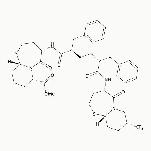 COC(=O)[C@@H]1CCC[C@@H]2SCC[C@H](NC(=O)[C@H](CC[C@H](Cc3ccccc3)C(=O)N[C@H]3CCS[C@H]4CC[C@@H](C(F)(F)F)CN4C3=O)Cc3ccccc3)C(=O)N21